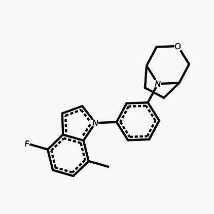 Cc1ccc(F)c2ccn(-c3cccc(N4C5CCC4COC5)c3)c12